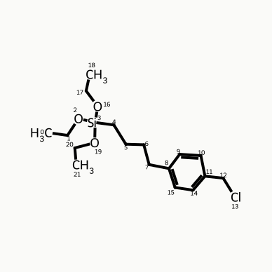 CCO[Si](CCCCc1ccc(CCl)cc1)(OCC)OCC